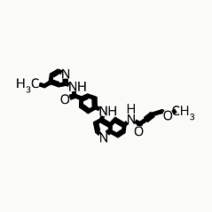 CCc1ccnc(NC(=O)c2ccc(Nc3ccnc4ccc(NC(=O)C#CCOC)cc34)cc2)c1